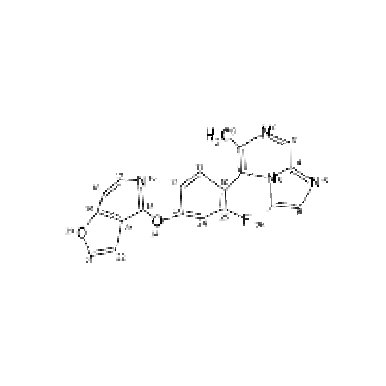 Cc1ncc2nccn2c1-c1ccc(Oc2nccc3occc23)cc1F